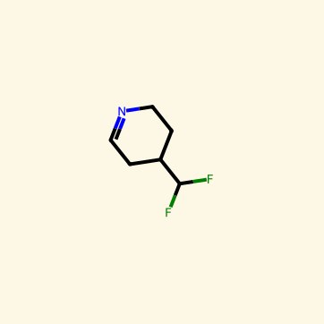 FC(F)C1CC=NCC1